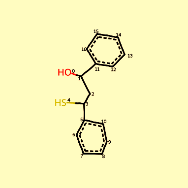 OC(CC(S)c1ccccc1)c1ccccc1